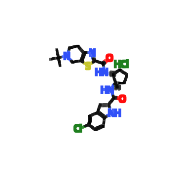 CC(C)(C)N1CCc2nc(C(=O)N[C@@H]3CCC[C@H]3NC(=O)c3cc4cc(Cl)ccc4[nH]3)sc2C1.Cl